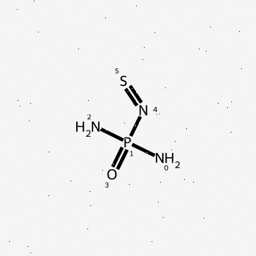 NP(N)(=O)N=S